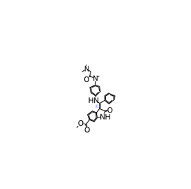 COC(=O)c1ccc2c(c1)NC(=O)/C2=C(/Nc1ccc(N(C)C(=O)CN(C)C)cc1)c1ccccc1